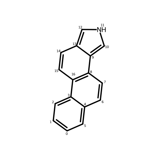 c1ccc2c(c1)ccc1c3c[nH]cc3ccc21